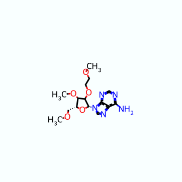 COCCOC1C(OC)[C@@H](COC)O[C@H]1n1cnc2c(N)ncnc21